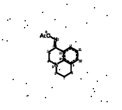 CC(=O)O/N=C1\CCN2CCCc3cccc1c32